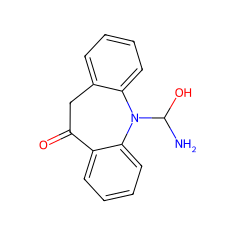 NC(O)N1c2ccccc2CC(=O)c2ccccc21